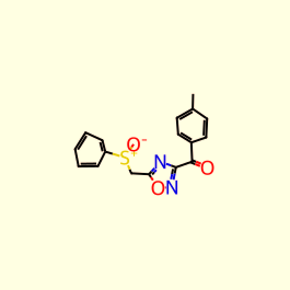 Cc1ccc(C(=O)c2noc(C[S+]([O-])c3ccccc3)n2)cc1